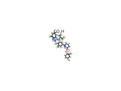 Cc1ccc(COc2cccc(-c3ccc(Cc4nc5c(F)cc(C(=O)O)cc5n4CC4(C(F)F)CC4)c(F)c3)n2)c(F)c1